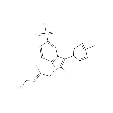 Cc1c(-c2ccc(F)cc2)c2cc(S(N)(=O)=O)ccc2n1C/C(F)=C/CN.Cl